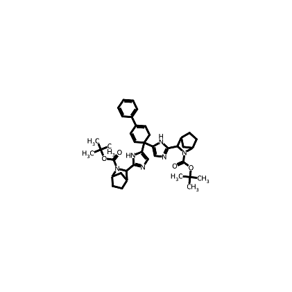 CC(C)(C)OC(=O)N1C2CCC(C2)C1c1ncc(C2(c3cnc(C4C5CCC(C5)N4C(=O)OC(C)(C)C)[nH]3)C=CC(c3ccccc3)=CC2)[nH]1